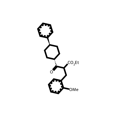 CCOC(=O)C(Cc1ccccc1OC)C(=O)[C@H]1CC[C@H](c2ccccc2)CC1